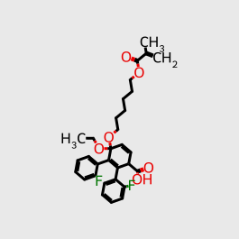 C=C(C)C(=O)OCCCCCCOC1(OCC)C=CC(C(=O)O)C(c2ccccc2F)=C1c1ccccc1F